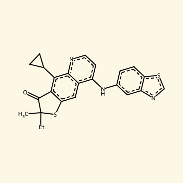 CCC1(C)Sc2cc3c(Nc4ccc5scnc5c4)ccnc3c(C3CC3)c2C1=O